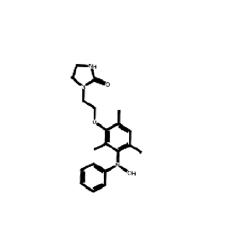 Cc1cc(C)c(N(O)c2ccccc2)c(C)c1OCCN1CCNC1=O